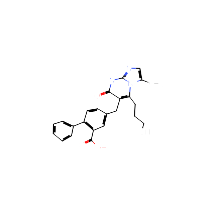 CCCCC1=C(Cc2ccc(-c3ccccc3)c(C(=O)O)c2)C(=O)NC2=NC=C(C)[N+]21